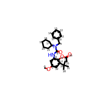 COc1cc(NC(=O)N(Cc2ccccc2)C2CCCCC2)c(OC(C)=O)c(C(C)(C)C)c1